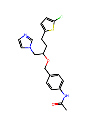 CC(=O)Nc1ccc(COC(CCc2ccc(Cl)s2)Cn2ccnc2)cc1